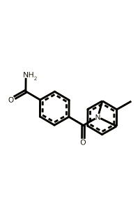 Cc1c2cccc1N2C(=O)c1ccc(C(N)=O)cc1